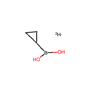 OB(O)C1CC1.[2H]